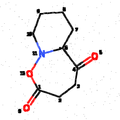 O=C1CCC(=O)[C]2CCCCN2O1